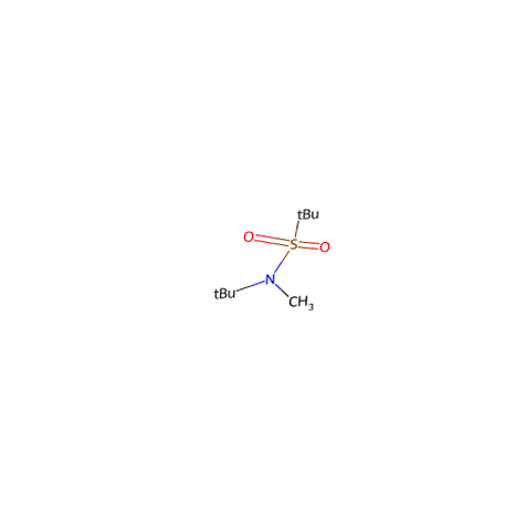 CN(C(C)(C)C)S(=O)(=O)C(C)(C)C